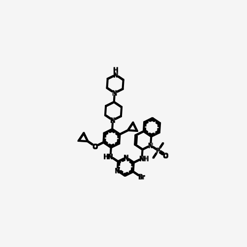 CP(C)(=O)N1c2ccccc2C=CC1Nc1nc(Nc2cc(C3CC3)c(N3CCC(N4CCNCC4)CC3)cc2OC2CC2)ncc1Br